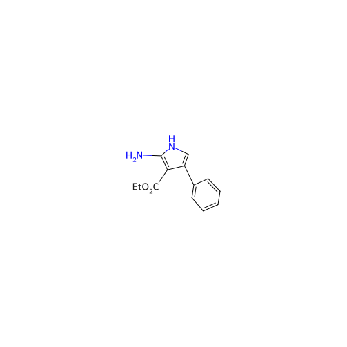 CCOC(=O)c1c(-c2ccccc2)c[nH]c1N